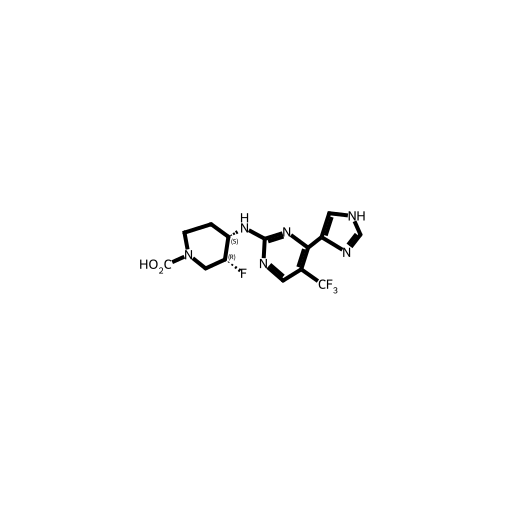 O=C(O)N1CC[C@H](Nc2ncc(C(F)(F)F)c(-c3c[nH]cn3)n2)[C@H](F)C1